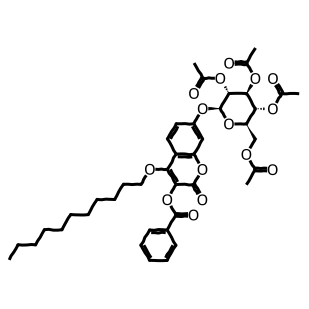 CCCCCCCCCCCOc1c(OC(=O)c2ccccc2)c(=O)oc2cc(O[C@@H]3O[C@H](COC(C)=O)[C@@H](OC(C)=O)[C@H](OC(C)=O)[C@H]3OC(C)=O)ccc12